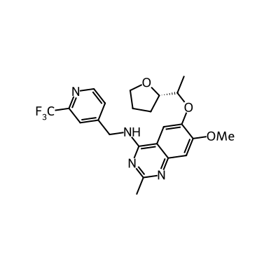 COc1cc2nc(C)nc(NCc3ccnc(C(F)(F)F)c3)c2cc1OC(C)[C@@H]1CCCO1